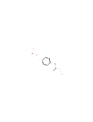 C=C(CCC)C(=O)c1ccc(OC(Cl)C(=O)O)cc1Cl